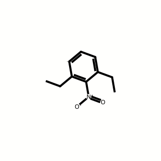 CCc1[c]ccc(CC)c1[N+](=O)[O-]